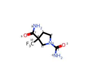 NC(=O)N1CCC(C(N)=O)(C(F)(F)F)C1